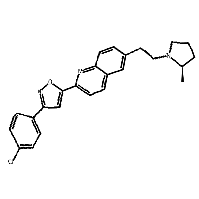 C[C@@H]1CCCN1CCc1ccc2nc(-c3cc(-c4ccc(Cl)cc4)no3)ccc2c1